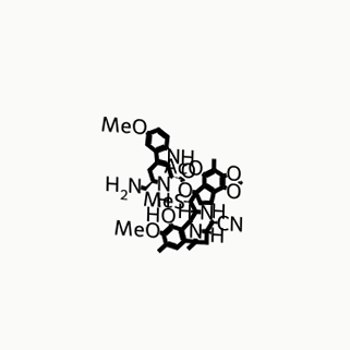 COc1ccc2[nH]c3c(c2c1)C[C@H](CN)N[C@H]3C(=O)OC12C[C@@H](c3c4c(c(C)c(OC(C)=O)c31)OCO4)N1[C@H](C3c4c(cc(C)c(OC)c4O)C4(C)C[C@@H]([C@@H]1C#N)N34)[C@@H]2SC